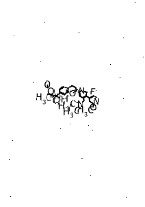 CCN(CC)Cc1cc([C@H]2CCc3ccc([C@H](O)[C@H](C)OC=O)cc3O2)ncc1-c1cc(OC)ncc1F